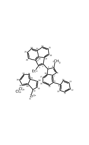 CCC1=C(C2C(C)=Cc3c(-c4ccccc4)cccc32)c2cccc3cccc1c23.[Cl-].[Cl-].[Zr+2][CH]1C=Cc2ccccc21